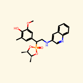 COc1cc(C(CNc2cnc3ccccc3c2)P2(=O)O[C@@H](C)[C@@H](C)O2)cc(C)c1O